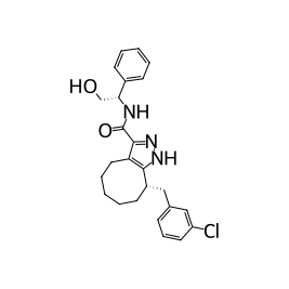 O=C(N[C@H](CO)c1ccccc1)c1n[nH]c2c1CCCCC[C@H]2Cc1cccc(Cl)c1